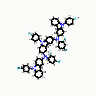 Fc1ccc(-n2c3ccccc3c3cc(N(c4ccc5c(c4)c4cc(N(c6ccc7c(c6)c6ccccc6n7-c6ccc(F)cc6)c6ccc(F)cc6F)ccc4n5-c4ccc(F)cc4)c4ccc(F)cc4F)ccc32)cc1